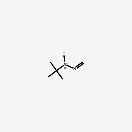 C=N[S@+]([O-])C(C)(C)C